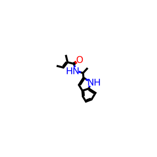 CC=C(C)C(=O)NC(C)c1cc2ccccc2[nH]1